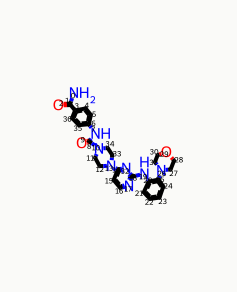 NC(=O)c1ccc(NC(=O)N2CCN(c3ccnc(Nc4ccccc4N4CCOCC4)n3)CC2)cc1